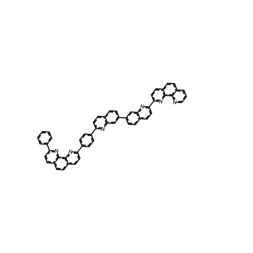 c1ccc(-c2ccc3ccc4ccc(-c5ccc(-c6ccc7ccc(-c8ccc9ccc(-c%10ccc%11ccc%12cccnc%12c%11n%10)nc9c8)cc7n6)cc5)nc4c3n2)cc1